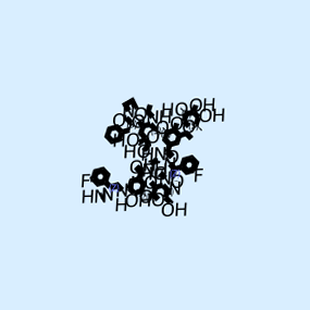 CCC1CC(C(=O)NCCNC(=O)C2CC(N/C=C(\N=N)c3cccc(F)c3)C(O)[C@@H](O[C@H]3OC(CO)[C@@H](N=O)C(N(O)/C=C(\N)c4cccc(F)c4)C3O)C2)C[C@H](O[C@H]2OC(CO)(CO)CC(O[C@@H](CC3CCCCC3)C(=O)N3CCC3)C2NC(C)=O)C1OC1O[C@@H](C)C(O)C(O)[C@H]1O